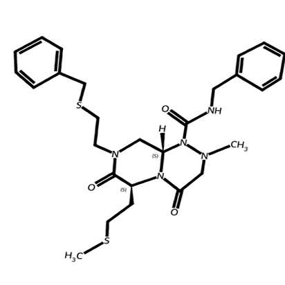 CSCC[C@H]1C(=O)N(CCSCc2ccccc2)C[C@H]2N1C(=O)CN(C)N2C(=O)NCc1ccc(F)cc1